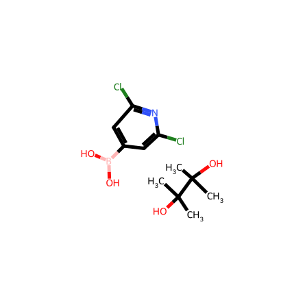 CC(C)(O)C(C)(C)O.OB(O)c1cc(Cl)nc(Cl)c1